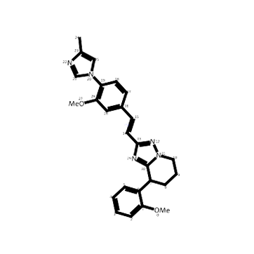 COc1ccccc1C1CCCn2nc(/C=C/c3ccc(-n4cnc(C)c4)c(OC)c3)nc21